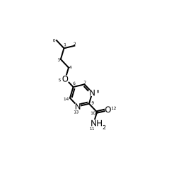 CC(C)CCOc1cnc(C(N)=O)nc1